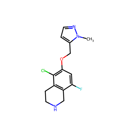 Cn1nccc1COc1cc(F)c2c(c1Cl)CCNC2